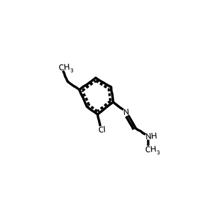 CCc1ccc(N=CNC)c(Cl)c1